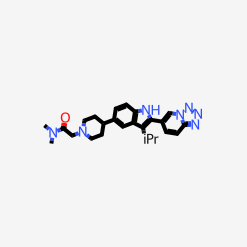 CC(C)c1c(-c2ccc3nnnn3c2)[nH]c2ccc(C3CCN(CC(=O)N(C)C)CC3)cc12